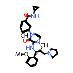 COc1ccccc1[C@H](Nc1nccn(-c2cc(C(=O)NC3CC3)ccc2C)c1=O)[C@@H](C)CN1CCCC1